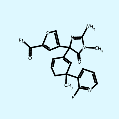 CCC(=O)c1cc(C2(C3=CC(C)(c4cccnc4F)CC=C3)N=C(N)N(C)C2=O)cs1